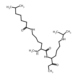 CCC(=O)C(CCCCNC(C)C)NC(=O)C(CCCCNC(=O)CCCCC(C)C)NC